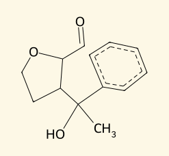 CC(O)(c1ccccc1)C1CCOC1C=O